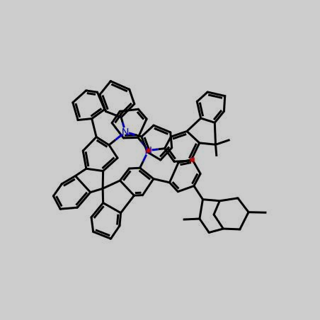 CC1CC2CC(C)C(c3cccc(-c4cc5c(cc4N(c4ccccc4)c4ccc6c(c4)-c4ccccc4C6(C)C)C4(c6ccccc6-c6cc(-c7ccccc7)c(N(c7ccccc7)c7ccccc7)cc64)c4ccccc4-5)c3)C(C1)C2